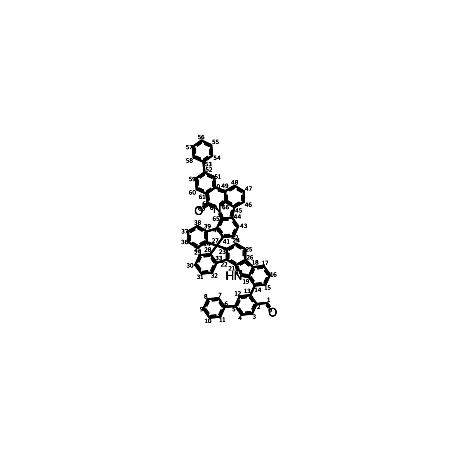 O=Cc1ccc(-c2ccccc2)cc1-c1cccc2c1[nH]c1c3c(ccc12)C1(c2ccccc2-3)c2ccccc2-c2c1ccc1c3cccc4c5cc(-c6ccccc6)ccc5c(=O)n(c21)c43